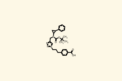 CC(C)(C)OC(=O)N(Cc1cn(CCCc2ccc(C(=O)O)cc2)nn1)C1CC1c1ccccc1